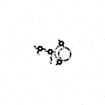 COCCOc1cc(/N=N/c2ccc(N=O)c(C=O)c2)ccc1N1CCOc2cc(C)ccc2N2CCOCCOCCN(CCOCCOCC2)c2ccc(C)cc2OCC1